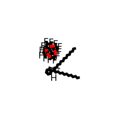 CCCCCCCCCCCCCC[NH+](CCCCCCCCCCCC)c1ccccc1C.Fc1c(F)c(F)c([B-](c2c(F)c(F)c(F)c(F)c2F)(c2c(F)c(F)c(F)c(F)c2F)c2c(F)c(F)c(F)c(F)c2F)c(F)c1F